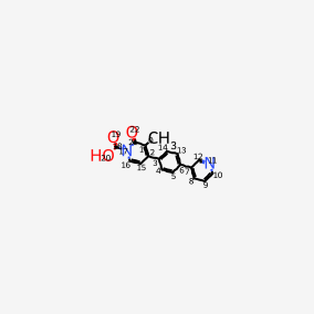 Cc1c(-c2ccc(-c3cccnc3)cc2)ccn(C(=O)O)c1=O